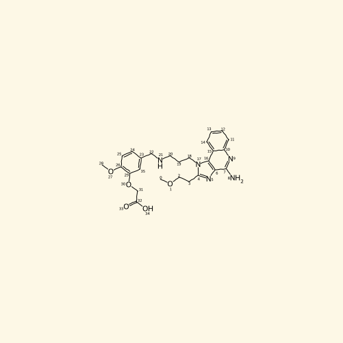 COCCc1nc2c(N)nc3ccccc3c2n1CCCNCc1ccc(OC)c(OCC(=O)O)c1